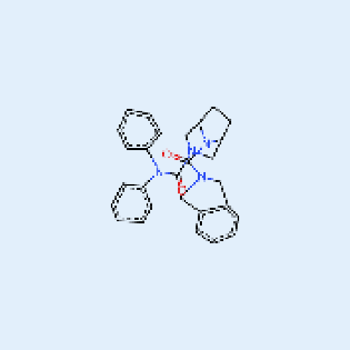 O=C(N1CC2CCC(C1)N2C(=O)N1Cc2ccccc2C1)N(c1ccccc1)c1ccccc1